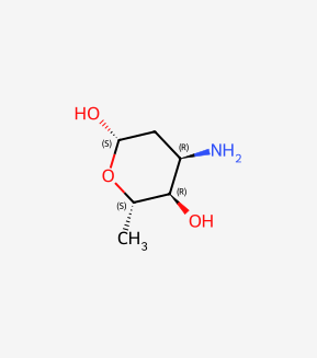 C[C@@H]1O[C@H](O)C[C@@H](N)[C@H]1O